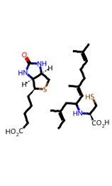 CC=C(C)CC(C=C(C)CCC=C(C)C)N[C@@H](CS)C(=O)O.O=C(O)CCCC[C@@H]1SC[C@@H]2NC(=O)N[C@@H]21